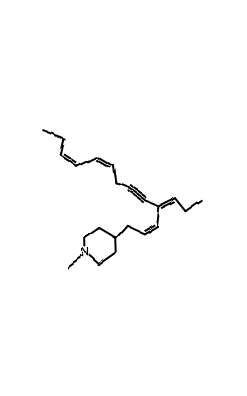 CC/C=C\C=C/CC#CC(/C=C\CC1CCN(C)CC1)=C/CC